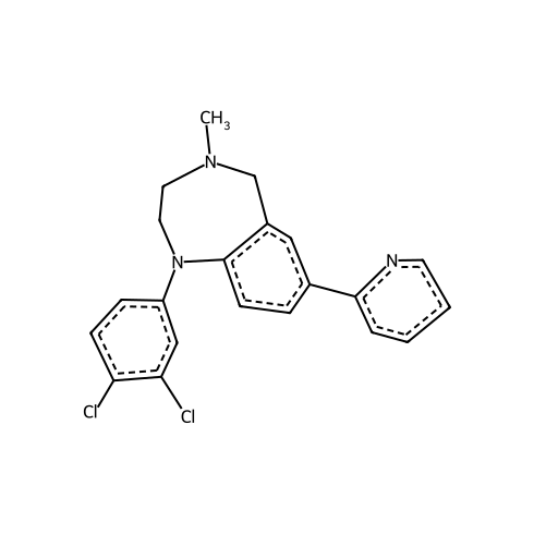 CN1CCN(c2ccc(Cl)c(Cl)c2)c2ccc(-c3ccccn3)cc2C1